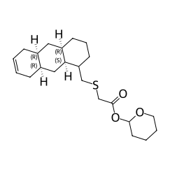 O=C(CSCC1CCC[C@@H]2C[C@@H]3CC=CC[C@@H]3C[C@H]12)OC1CCCCO1